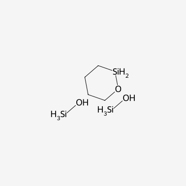 C1CC[SiH2]OC1.O[SiH3].O[SiH3]